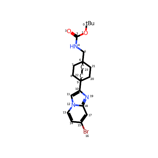 CC(C)(C)OC(=O)NCC12CCC(c3cn4ccc(Br)cc4n3)(CC1)CC2